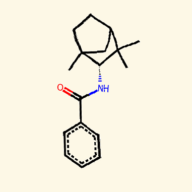 CC12CCC(C1)C(C)(C)[C@@H]2NC(=O)c1ccccc1